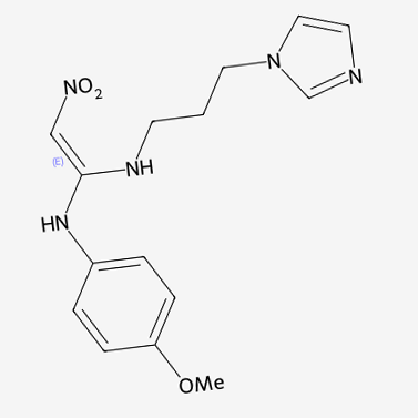 COc1ccc(N/C(=C/[N+](=O)[O-])NCCCn2ccnc2)cc1